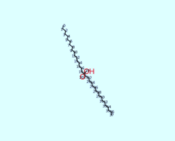 CCCCCCCCCCCCCCCCCCC1(O)OC1CCCCCCCCCCCCCCCC